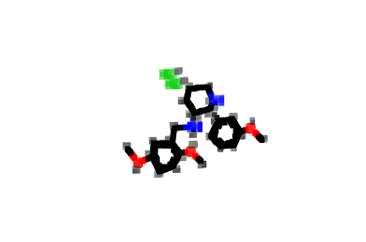 COc1cccc([C@H]2NCCC[C@H]2NCc2cc(OC)ccc2OC)c1.Cl.Cl